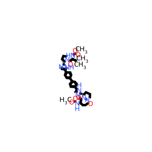 COC(=O)N[C@H]1CCC(=O)N2CCC[C@@H](c3ncc(-c4ccc(-c5ccc(-c6cnc([C@@H]7CCCN7C(=O)[C@@H](NC(=O)OC)C(C)C)[nH]6)cc5)cc4)[nH]3)N2C1=O